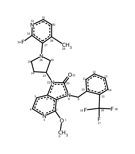 COc1nccc2c1n(Cc1ccccc1C(F)(F)F)c(=O)n2C1CCN(c2c(C)ccnc2F)C1